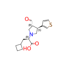 O=C[C@H]1CN([C@H](CC2CCC2)C(=O)O)C[C@@H]1c1ccsc1